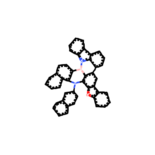 c1ccc2cc(N3c4c(ccc5ccccc45)B4c5c(cc6c(oc7ccccc76)c53)-c3cccc5c6ccccc6n4c35)ccc2c1